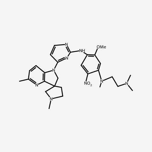 COc1cc(N(C)CCN(C)C)c([N+](=O)[O-])cc1Nc1nccc(N2CC3(CCN(C)C3)c3nc(C)ccc32)n1